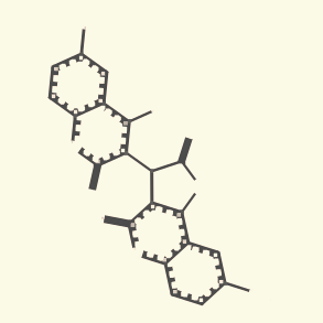 Cc1ccc2oc(=O)c(C3C(=O)Oc4c3c(=O)oc3ccc(C)cc43)c(O)c2c1